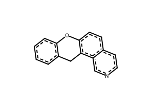 c1ccc2c(c1)Cc1c(ccc3ccncc13)O2